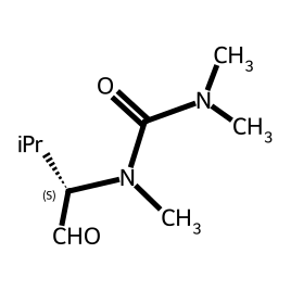 CC(C)[C@@H](C=O)N(C)C(=O)N(C)C